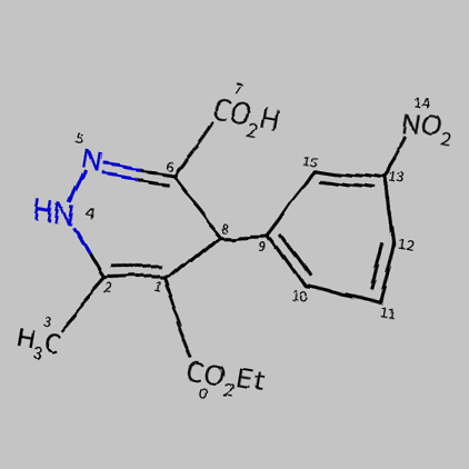 CCOC(=O)C1=C(C)NN=C(C(=O)O)C1c1cccc([N+](=O)[O-])c1